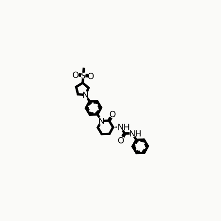 CS(=O)(=O)C1CCN(c2ccc(N3CCC[C@@H](NC(=O)Nc4ccccc4)C3=O)cc2)C1